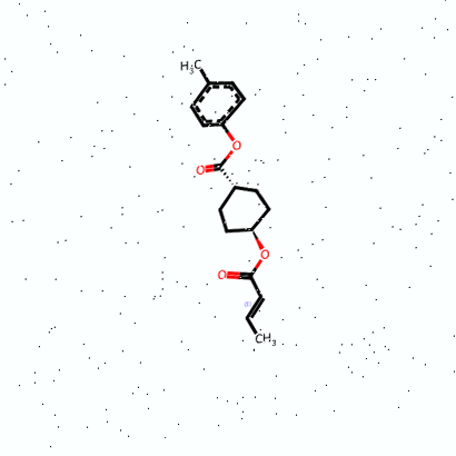 C/C=C/C(=O)O[C@H]1CC[C@H](C(=O)Oc2ccc(C)cc2)CC1